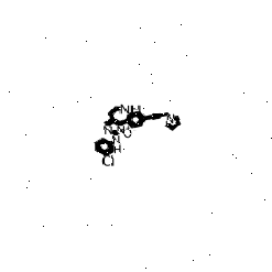 [O-][n+]1c(Nc2cccc(Cl)c2)ncc2c1-c1ccc(C#CCN3CCCC3)cc1NCC2